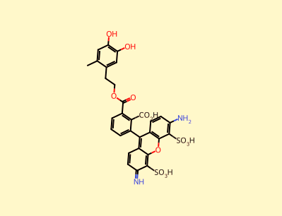 Cc1cc(O)c(O)cc1CCOC(=O)c1cccc(-c2c3ccc(=N)c(S(=O)(=O)O)c-3oc3c(S(=O)(=O)O)c(N)ccc23)c1C(=O)O